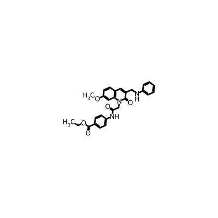 CCOC(=O)c1ccc(NC(=O)Cn2c(=O)c(CNc3ccccc3)cc3ccc(OC)cc32)cc1